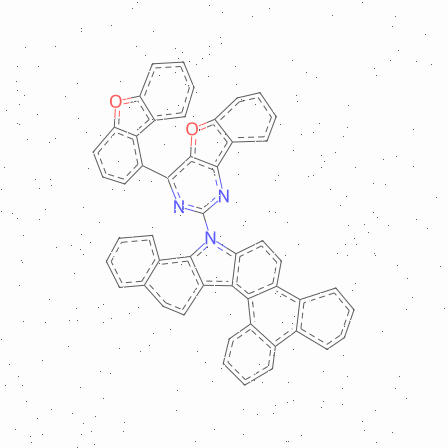 c1ccc2c(c1)ccc1c3c4c5ccccc5c5ccccc5c4ccc3n(-c3nc(-c4cccc5oc6ccccc6c45)c4oc5ccccc5c4n3)c21